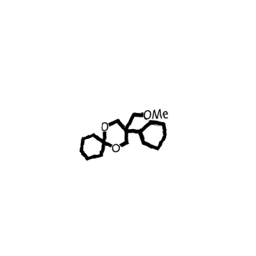 COCC1(C2CCCCC2)COC2(CCCCC2)OC1